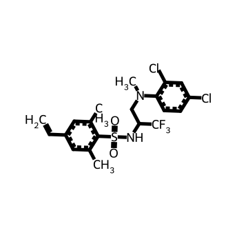 C=Cc1cc(C)c(S(=O)(=O)NC(CN(C)c2ccc(Cl)cc2Cl)C(F)(F)F)c(C)c1